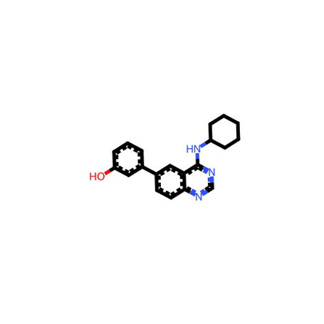 Oc1cccc(-c2ccc3ncnc(NC4CCCCC4)c3c2)c1